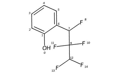 Oc1ccccc1C(F)C(F)(F)C(F)F